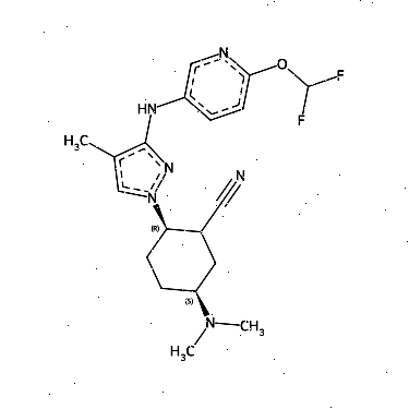 Cc1cn([C@@H]2CC[C@H](N(C)C)CC2C#N)nc1Nc1ccc(OC(F)F)nc1